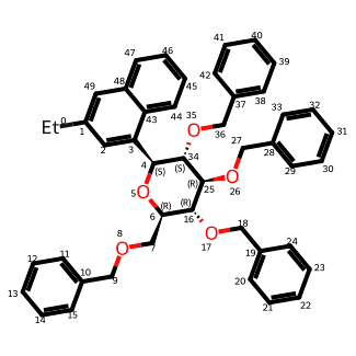 CCc1cc([C@@H]2O[C@H](COCc3ccccc3)[C@@H](OCc3ccccc3)[C@H](OCc3ccccc3)[C@H]2OCc2ccccc2)c2ccccc2c1